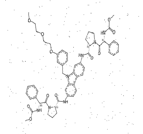 COCCOCCOc1cccc(Cn2c3cc(NC(=O)[C@@H]4CCCN4C(=O)[C@H](NC(=O)OC)c4ccccc4)ccc3c3ccc(NC(=O)[C@@H]4CCCN4C(=O)[C@H](NC(=O)OC)c4ccccc4)cc32)c1